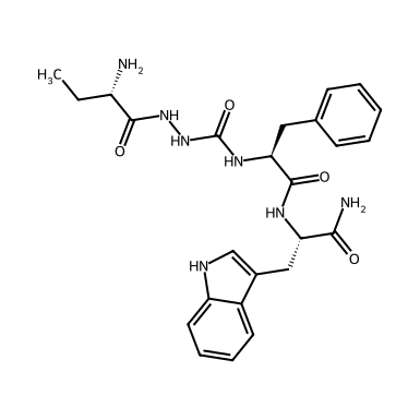 CC[C@H](N)C(=O)NNC(=O)N[C@@H](Cc1ccccc1)C(=O)N[C@@H](Cc1c[nH]c2ccccc12)C(N)=O